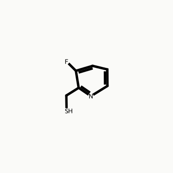 Fc1cccnc1CS